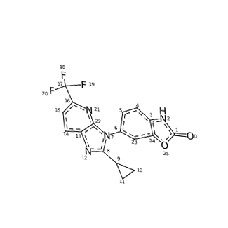 O=c1[nH]c2ccc(-n3c(C4CC4)nc4ccc(C(F)(F)F)nc43)cc2o1